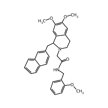 COc1ccccc1CNC(=O)CN1CCc2cc(OC)c(OC)cc2C1Cc1ccc2ccccc2c1